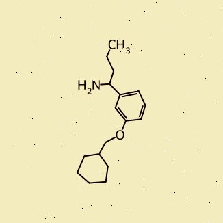 CCCC(N)c1cccc(OCC2CCCCC2)c1